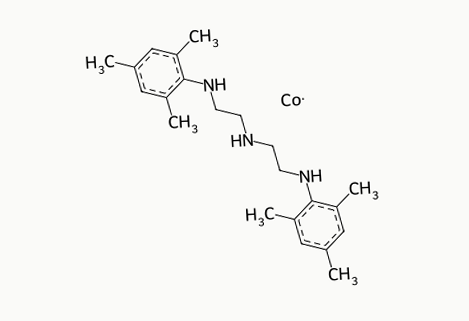 Cc1cc(C)c(NCCNCCNc2c(C)cc(C)cc2C)c(C)c1.[Co]